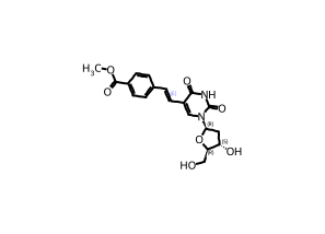 COC(=O)c1ccc(/C=C/c2cn([C@H]3C[C@H](O)[C@@H](CO)O3)c(=O)[nH]c2=O)cc1